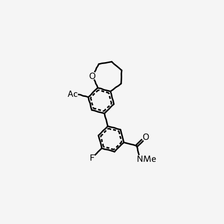 CNC(=O)c1cc(F)cc(-c2cc3c(c(C(C)=O)c2)OCCCC3)c1